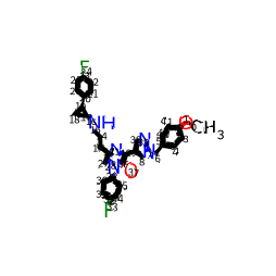 COc1ccc(Cn2cc(-c3nc(CCCN[C@@H]4C[C@H]4c4ccc(F)cc4)cn(-c4ccc(F)cc4)c3=O)cn2)cc1